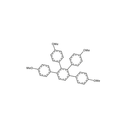 COc1ccc(-c2ccc(-c3ccc(OC)cc3)c(-c3ccc(OC)cc3)c2-c2ccc(OC)cc2)cc1